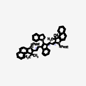 CCCCCN1/C(=C/C=C2C(N3CCc4ccccc43)=C(/C=C/C3=[N+](CCCCC)c4ccc5ccccc5c4C3(C)C)c3ccccc3/2)C(C)(C)c2c1ccc1ccccc21